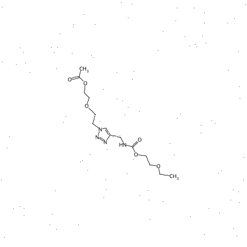 CCOCCOC(=O)NCc1cn(CCOCCOC(C)=O)nn1